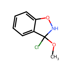 COC1(Cl)NOc2ccccc21